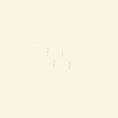 CCCC(C)C(O)C(C)=CO